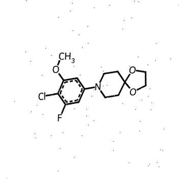 COc1cc(N2CCC3(CC2)OCCO3)cc(F)c1Cl